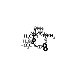 COCCn1nc(C)c2c1CN(C)Cc1cc(n(C)n1)CSc1cc(c3ccccc3c1)OCCCc1c(C(=O)O)n(C)c3c-2c(Cl)ccc13